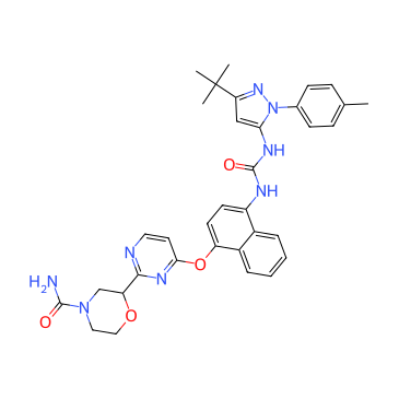 Cc1ccc(-n2nc(C(C)(C)C)cc2NC(=O)Nc2ccc(Oc3ccnc(C4CN(C(N)=O)CCO4)n3)c3ccccc23)cc1